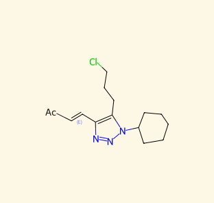 CC(=O)/C=C/c1nnn(C2CCCCC2)c1CCCCl